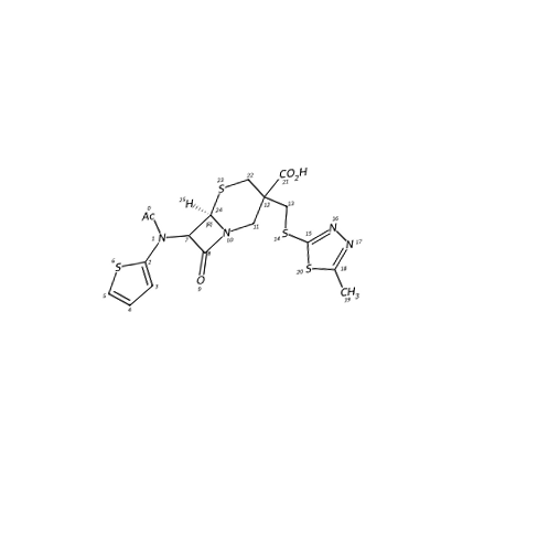 CC(=O)N(c1cccs1)C1C(=O)N2CC(CSc3nnc(C)s3)(C(=O)O)CS[C@H]12